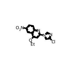 CCOc1cc(-n2cnc(Cl)c2)nc2ccc([N+](=O)[O-])cc12